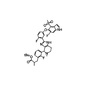 CC(Cc1cccc(C2c3nc(-c4cc(Oc5c(F)cc6[nH]ccc6c5S(C)(=O)=O)ccc4F)[nH]c3CCN2C)c1F)C(=O)OC(C)(C)C